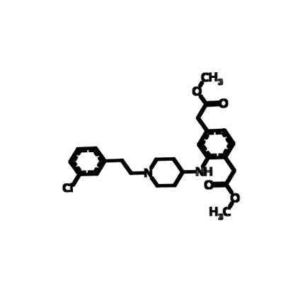 COC(=O)Cc1ccc(CC(=O)OC)c(NC2CCN(CCc3cccc(Cl)c3)CC2)c1